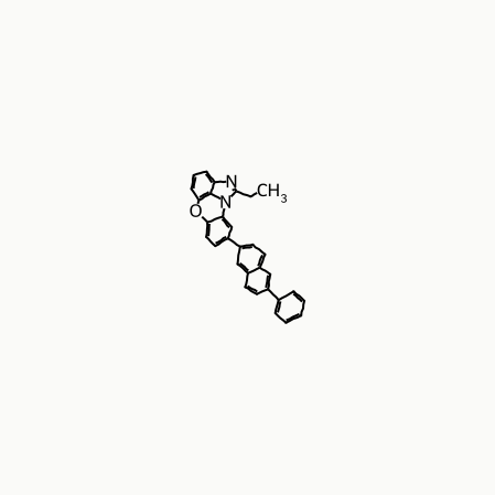 CCc1nc2cccc3c2n1-c1cc(-c2ccc4cc(-c5ccccc5)ccc4c2)ccc1O3